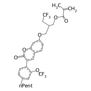 C=C(C)C(=O)OCC(COc1ccc2cc(-c3ccc(CCCCC)cc3OC(F)(F)F)c(=O)oc2c1)CC(F)(F)F